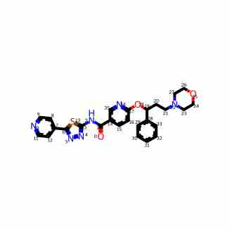 O=C(Nc1nnc(-c2ccncc2)s1)c1ccc(OC(CCN2CCOCC2)c2ccccc2)nc1